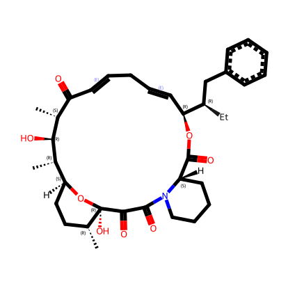 CC[C@H](Cc1ccccc1)[C@@H]1/C=C/C/C=C/C(=O)[C@@H](C)[C@H](O)[C@@H](C)[C@@H]2CC[C@@H](C)[C@@](O)(O2)C(=O)C(=O)N2CCCC[C@H]2C(=O)O1